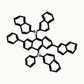 c1ccc(-c2ccc3c(N(c4ccccc4)c4ccc5ccccc5c4)c4cc(-c5ccc6ccccc6c5)ccc4c(N(c4ccc5ccccc5c4)c4ccc5ccccc5c4)c3c2)cc1